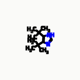 CC(C)(C)c1nc[nH]c1C(C)(C)C